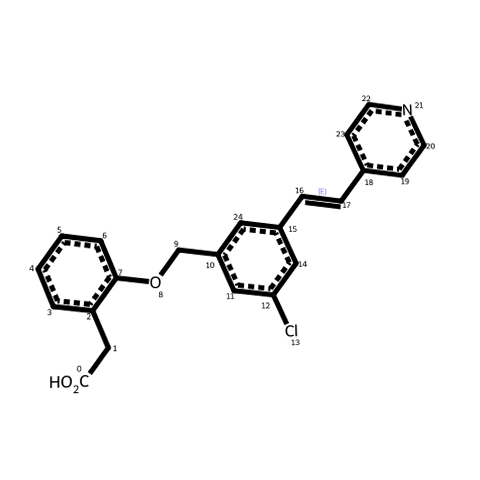 O=C(O)Cc1ccccc1OCc1cc(Cl)cc(/C=C/c2ccncc2)c1